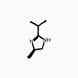 C=C1CNC(C(C)C)=N1